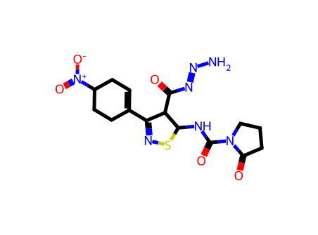 NN=NC(=O)C1C(C2=CCC([N+](=O)[O-])CC2)=NSC1NC(=O)N1CCCC1=O